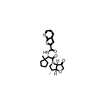 C[C@@H]1CN(C(=O)[C@@H](NC(=O)c2cc3cccnc3s2)C2(C)CCCC2)[C@@H]2C(=O)CO[C@H]12